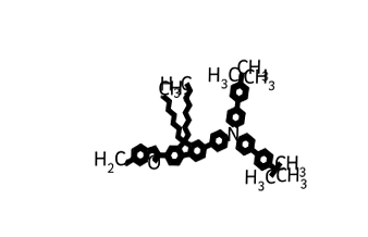 C=Cc1ccc2cc(-c3ccc4c(c3)C(CCCCCCCC)(CCCCCCCC)c3cc(-c5ccc(N(c6ccc(-c7ccc(C(C)(C)C)cc7)cc6)c6ccc(-c7ccc(C(C)(C)C)cc7)cc6)cc5)ccc3-4)oc2c1